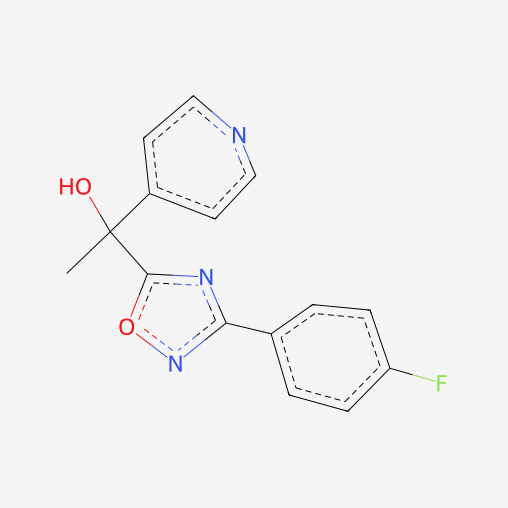 CC(O)(c1ccncc1)c1nc(-c2ccc(F)cc2)no1